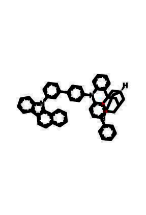 c1ccc(-c2ccc(N(c3ccc(-c4cccc(-n5c6ccccc6c6ccc7ccccc7c65)c4)cc3)c3ccccc3C34CC5C[C@H](C3)C[C@H](C5)C4)cc2)cc1